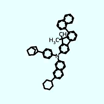 CC1(C)c2cc(N(c3ccc(C4CC5CCC4C5)cc3)c3ccc4ccc(C5CCCCC5)cc4c3)ccc2-c2cccc(-c3cccc4ccccc34)c21